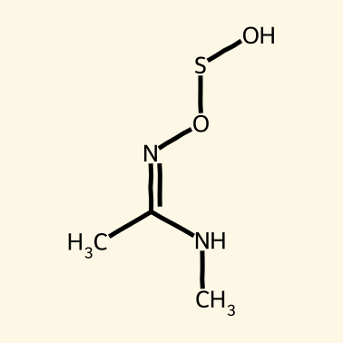 CN/C(C)=N\OSO